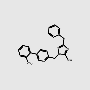 CCCCc1nc(Cc2ccccc2)nn1Cc1ccc(-c2ccccc2C(=O)O)cn1